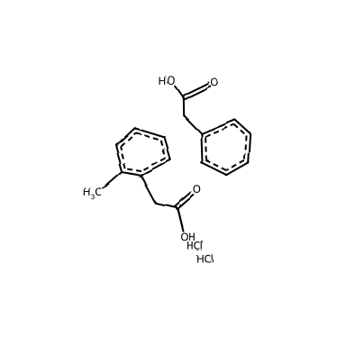 Cc1ccccc1CC(=O)O.Cl.Cl.O=C(O)Cc1ccccc1